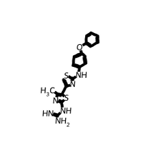 Cc1nc(NC(=N)N)sc1-c1csc(Nc2ccc(Oc3ccccc3)cc2)n1